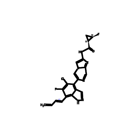 C=C/C=C/c1c(F)c(Cl)c(-c2cn3cc(NC(=O)[C@@H]4C[C@@H]4F)nc3cn2)c2cn[nH]c12